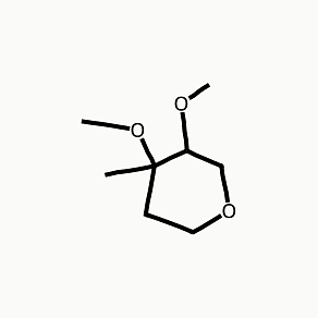 COC1COCCC1(C)OC